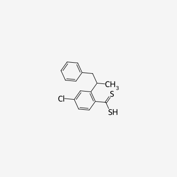 CC(Cc1ccccc1)c1cc(Cl)ccc1C(=S)S